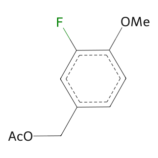 COc1ccc(COC(C)=O)cc1F